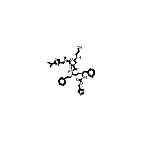 CC(C)c1nc(CN(C)C(=O)N[C@@H](CCNCCO)C(=O)N[C@H](CCc2ccccc2)CC[C@@H](Cc2ccccc2)NC(=O)OCc2cncs2)cs1